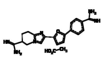 CC(=O)O.N=C(N)c1ccc(-c2ccc(-c3cn4c(n3)CCC(C(=N)N)C4)o2)cc1